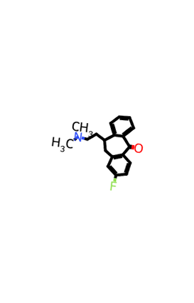 CN(C)CCC1Cc2cc(F)ccc2C(=O)c2ccccc21